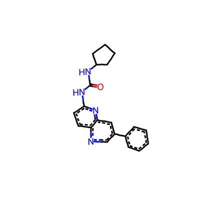 O=C(Nc1ccc2ncc(-c3ccccc3)cc2n1)NC1CCCC1